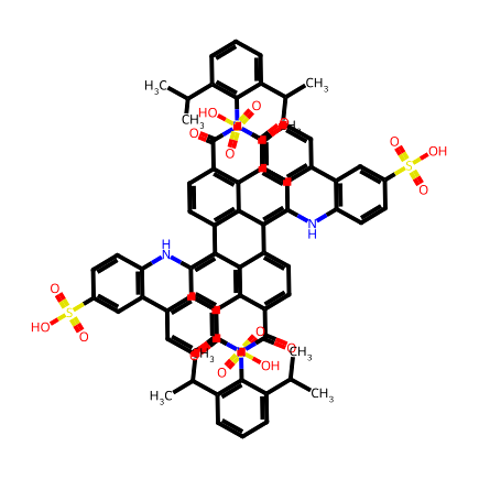 CC(C)c1cccc(C(C)C)c1N1C(=O)c2ccc3c4c(Nc5ccc(S(=O)(=O)O)cc5-c5ccc(S(=O)(=O)O)cc5)cc5c6c(ccc(c7c(Nc8ccc(S(=O)(=O)O)cc8-c8ccc(S(=O)(=O)O)cc8)cc(c2c37)C1=O)c64)C(=O)N(c1c(C(C)C)cccc1C(C)C)C5=O